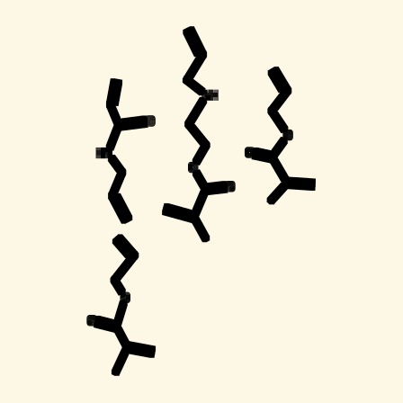 C=CCNC(=O)C=C.C=CCNCCOC(=O)C(=C)C.C=CCOC(=O)C(=C)C.C=CCOC(=O)C(=C)C